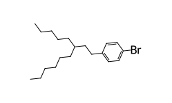 CCCCCCC(CCCCC)CCc1ccc(Br)cc1